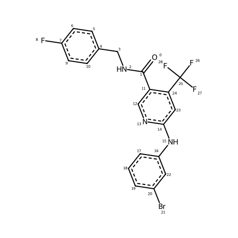 O=C(NCc1ccc(F)cc1)c1cnc(Nc2cccc(Br)c2)cc1C(F)(F)F